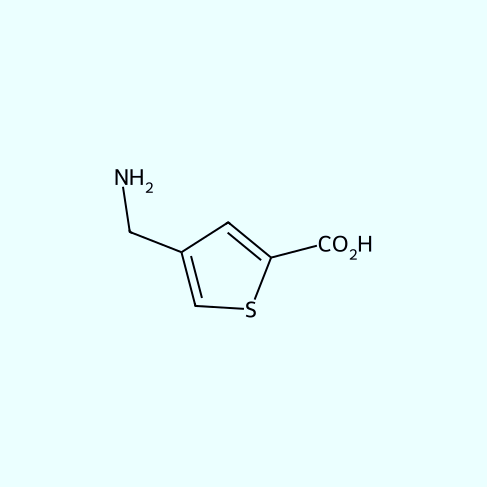 NCc1csc(C(=O)O)c1